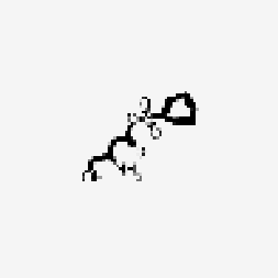 NC(CO)CC(=O)OS(=O)(=O)c1ccccc1